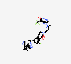 C[C@@H](CCCn1ccc2cc(-c3ccc(C4(C#N)CC4)cn3)cc(F)c2c1=O)Nc1cn[nH]c(=O)c1C(F)(F)F